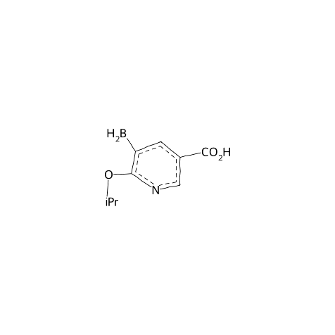 Bc1cc(C(=O)O)cnc1OC(C)C